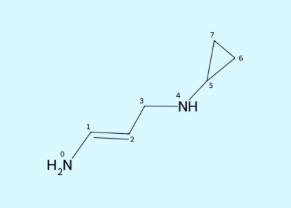 NC=CCNC1CC1